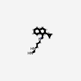 N=CNCCC/N=C/c1c(C2CC2)ccc2ccccc12